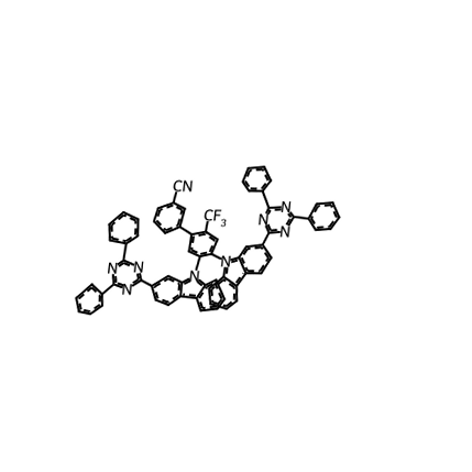 N#Cc1cccc(-c2cc(-n3c4ccccc4c4ccc(-c5nc(-c6ccccc6)nc(-c6ccccc6)n5)cc43)c(-n3c4ccccc4c4ccc(-c5nc(-c6ccccc6)nc(-c6ccccc6)n5)cc43)cc2C(F)(F)F)c1